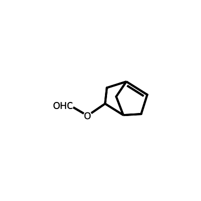 O=COC1CC2=CCC1C2